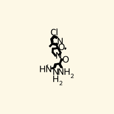 CN/C(N)=C/C(=C\N)C(=O)N1CCCC(OC)(c2ncc(Cl)cc2C)C1